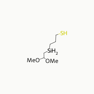 COC(C[SiH2]CCCS)OC